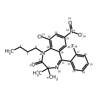 CCCCN1C(=O)C(C)(C)N=C(c2ccccc2F)c2cc([N+](=O)[O-])cc(Cl)c21